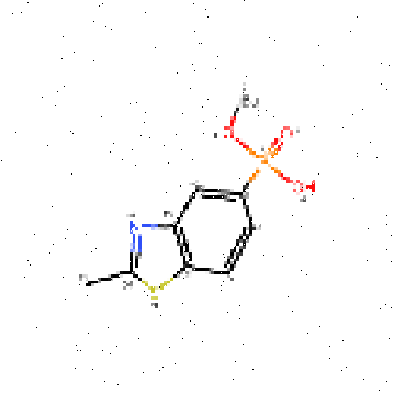 CCC(C)OP(=O)(O)c1ccc2sc(C)nc2c1